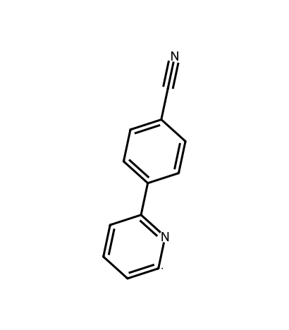 N#Cc1ccc(-c2ccc[c]n2)cc1